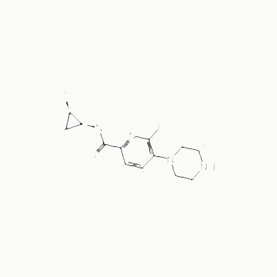 O=C(N[C@H]1C[C@H]1F)c1ccc(N2CCNCC2)c(F)n1